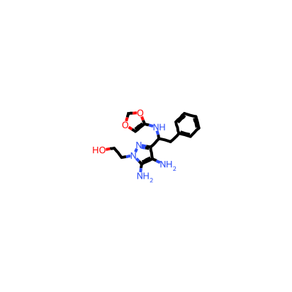 Nc1c(C(Cc2ccccc2)NC2=COCO2)nn(CCO)c1N